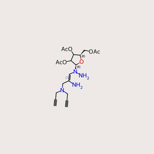 C#CCN(CC#C)C/C(N)=C/N(N)[C@@H]1O[C@H](COC(C)=O)C(OC(C)=O)C1OC(C)=O